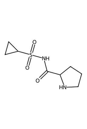 O=C(NS(=O)(=O)C1CC1)C1CCCN1